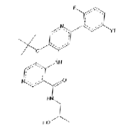 CC(O)CNC(=O)c1cnccc1Nc1cc(-c2cc(Cl)ccc2F)ncc1OC(C)(C)C